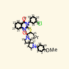 COc1ccc(N2CCC3(CCN(C(=O)C(CC(C)C)Sc4nc5ccccc5c(=O)n4-c4cccc(Cl)c4)C3)C2)cc1